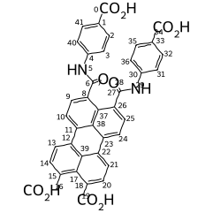 O=C(O)c1ccc(NC(=O)c2ccc3c4ccc(C(=O)O)c5c(C(=O)O)ccc(c6ccc(C(=O)Nc7ccc(C(=O)O)cc7)c2c36)c54)cc1